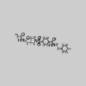 C=CC(=O)NC1CC2CN(S(=O)(=O)c3ccc(C(=O)NCCc4ccccc4)cc3)CC2O1